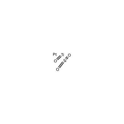 O=[Si]=O.[O]=[Ti].[Pt]